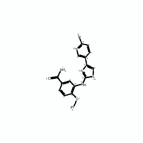 CC(C)Oc1ccc(C(N)=O)cc1Nc1nc(-c2ccc(Br)nc2)cs1